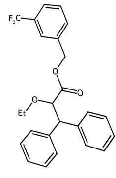 CCOC(C(=O)OCc1cccc(C(F)(F)F)c1)C(c1ccccc1)c1ccccc1